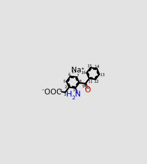 Nc1c(CC(=O)[O-])cccc1C(=O)c1ccccc1.[Na+]